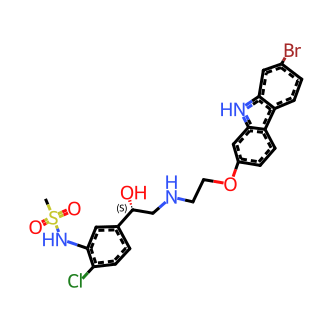 CS(=O)(=O)Nc1cc([C@H](O)CNCCOc2ccc3c(c2)[nH]c2cc(Br)ccc23)ccc1Cl